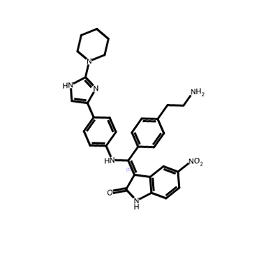 NCCc1ccc(/C(Nc2ccc(-c3c[nH]c(N4CCCCC4)n3)cc2)=C2/C(=O)Nc3ccc([N+](=O)[O-])cc32)cc1